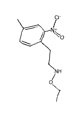 CCONCCc1ccc(C)cc1[N+](=O)[O-]